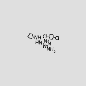 Nc1nc(NCCNc2ccccc2)nc(-c2cc(Cl)ccc2Cl)n1